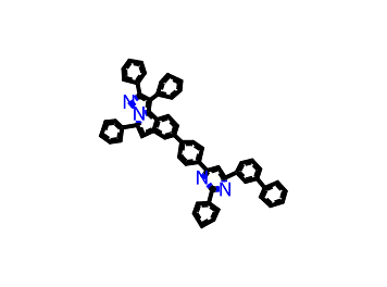 c1ccc(-c2cccc(-c3cc(-c4ccc(-c5ccc6c(c5)cc(-c5ccccc5)n5nc(-c7ccccc7)c(-c7ccccc7)c65)cc4)nc(-c4ccccc4)n3)c2)cc1